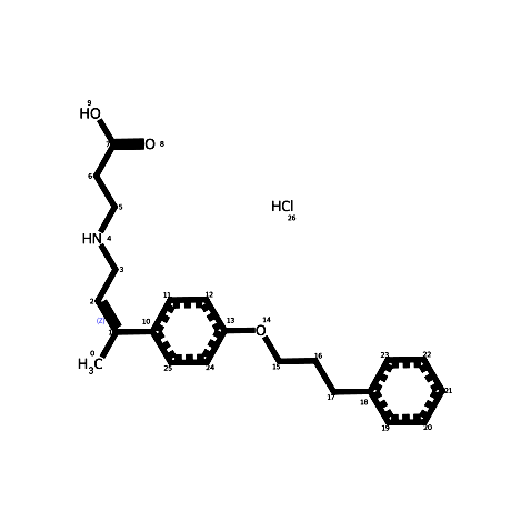 C/C(=C/CNCCC(=O)O)c1ccc(OCCCc2ccccc2)cc1.Cl